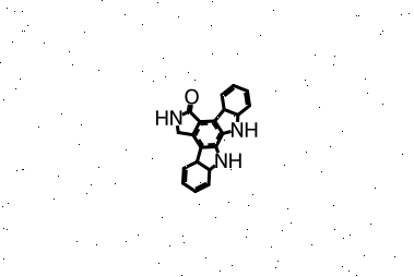 O=C1NCc2c1c1c(c3c2C2C=CC=CC2N3)NC2C=CC=CC12